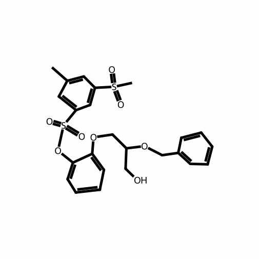 Cc1cc(S(C)(=O)=O)cc(S(=O)(=O)Oc2ccccc2OCC(CO)OCc2ccccc2)c1